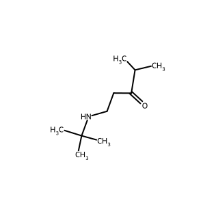 CC(C)C(=O)CCNC(C)(C)C